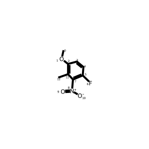 COc1ccc(F)c([N+](=O)[O-])c1C